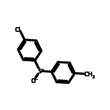 Cc1ccc([S+]([O-])c2ccc(Cl)cc2)cc1